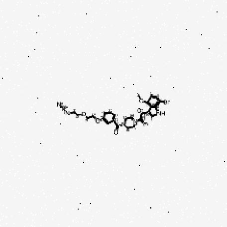 COc1ccc(Br)c2[nH]cc(C(=O)C(=O)N3CCN(C(=O)c4cccc(OCCOCCN=[N+]=[N-])c4)CC3)c12